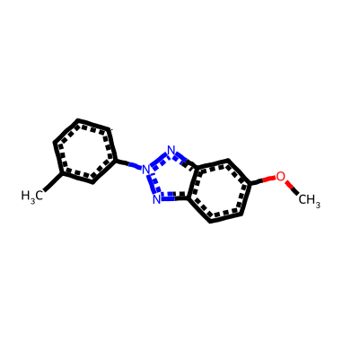 COc1ccc2nn(-c3[c]ccc(C)c3)nc2c1